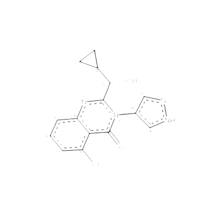 C[C@H](c1nc2cccc(Cl)c2c(=O)n1-c1cn[nH]c1)C1CC1